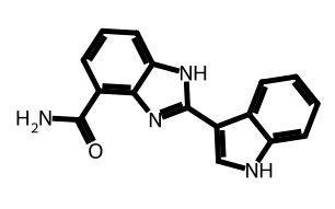 NC(=O)c1cccc2[nH]c(-c3c[nH]c4ccccc34)nc12